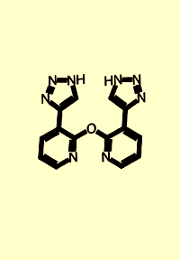 c1cnc(Oc2ncccc2-c2c[nH]nn2)c(-c2c[nH]nn2)c1